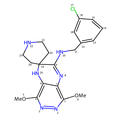 COc1nnc(OC)c2c1N=C(NCc1cccc(Cl)c1)C1(CCNCC1)N2